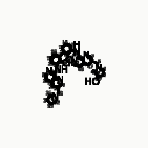 O[C@H]1CCN(Cc2cnc3c(Nc4cccc(-c5cccc(Nc6nccc7cc(CN8CCCC8)cnc67)c5Cl)c4Cl)nccc3c2)C1